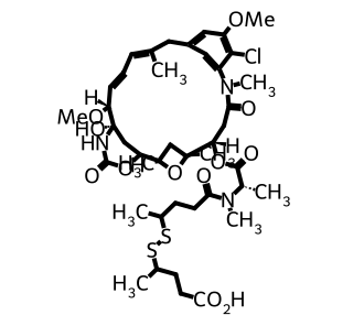 COc1cc2cc(c1Cl)N(C)C(=O)C[C@H](OC(=O)[C@H](C)N(C)C(=O)CCC(C)SSC(C)CCC(=O)O)[C@@]1(C)CC(C)(O1)[C@@H]1C[C@@](O)(NC(=O)O1)[C@H](OC)/C=C/C=C(\C)C2